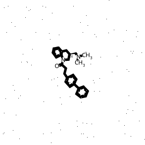 CN(C)C[C@@H]1Cc2ccccc2N(C(=O)CCc2ccc(-c3ccccc3)cc2)C1